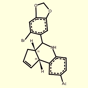 CC(=O)c1ccc2c(c1)[C@@H]1C=CC[C@@H]1C(c1cc3c(cc1Br)OCO3)N2